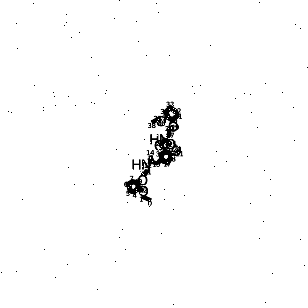 CCOc1ccccc1OCCNC(C)Cc1ccc(OC)c(S(=O)(=O)NCCOc2ccccc2OCC)c1